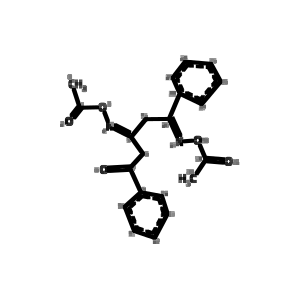 CC(=O)ON=C(CC(=O)c1ccccc1)CC(=NOC(C)=O)c1ccccc1